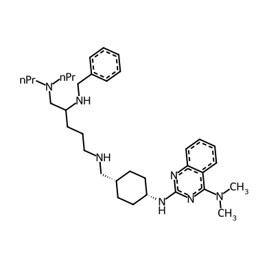 CCCN(CCC)CC(CCCNC[C@H]1CC[C@@H](Nc2nc(N(C)C)c3ccccc3n2)CC1)NCc1ccccc1